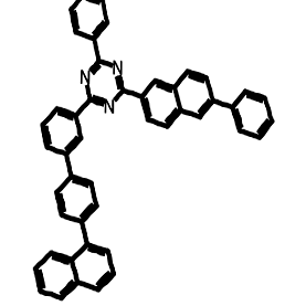 c1ccc(-c2ccc3cc(-c4nc(-c5ccccc5)nc(-c5cccc(-c6ccc(-c7cccc8ccccc78)cc6)c5)n4)ccc3c2)cc1